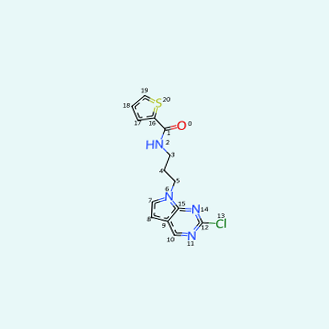 O=C(NCCCn1ccc2cnc(Cl)nc21)c1cccs1